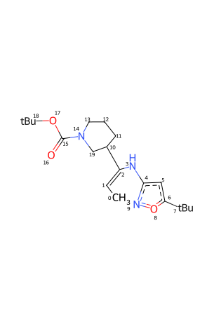 C/C=C(\Nc1cc(C(C)(C)C)on1)C1CCCN(C(=O)OC(C)(C)C)C1